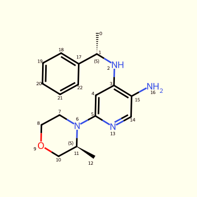 C[C@H](Nc1cc(N2CCOC[C@@H]2C)ncc1N)c1ccccc1